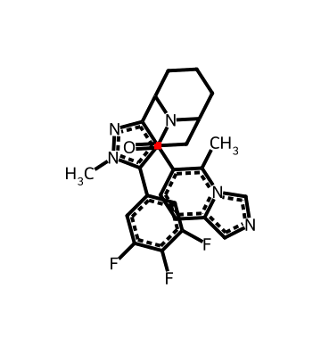 Cc1c(C(=O)N2C3CCCC2c2nn(C)c(-c4cc(F)c(F)c(F)c4)c2C3)ccc2cncn12